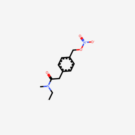 [CH2]CN(C)C(=O)Cc1ccc(CO[N+](=O)[O-])cc1